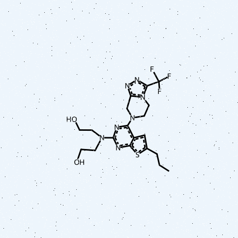 CCCc1cc2c(N3CCn4c(nnc4C(F)(F)F)C3)nc(N(CCO)CCO)nc2s1